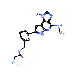 CNc1nc2[nH]c(-c3cccc(CNC(=O)CN)c3)cc2c2c1ncn2C